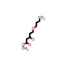 CCCCOCCC(=O)CC(=O)OC